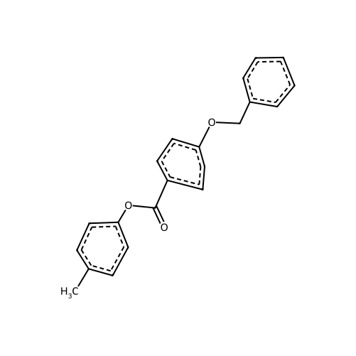 Cc1ccc(OC(=O)c2ccc(OCc3ccccc3)cc2)cc1